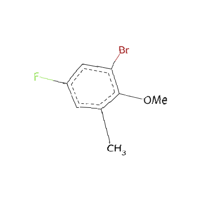 [CH2]Oc1c(C)cc(F)cc1Br